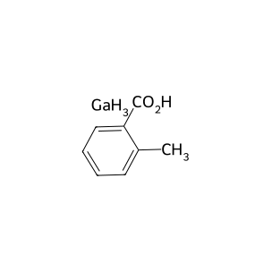 Cc1ccccc1C(=O)O.[GaH3]